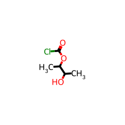 CC(O)C(C)OC(=O)Cl